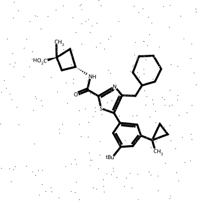 CC(C)(C)c1cc(-c2sc(C(=O)N[C@H]3C[C@](C)(C(=O)O)C3)nc2CC2CCCCC2)cc(C2(C)CC2)c1